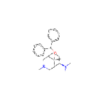 CN1CC2CC[C@@H](N(C)C)C(C1)[C@H]2OC(c1ccccc1)c1ccccc1